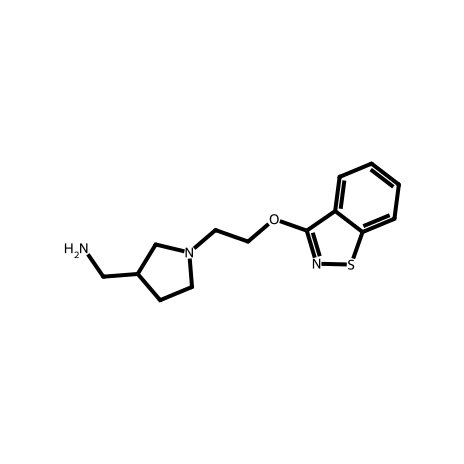 NCC1CCN(CCOc2nsc3ccccc23)C1